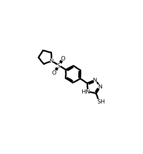 O=S(=O)(c1ccc(-c2nnc(S)[nH]2)cc1)N1CCCC1